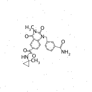 Cn1c(=O)c2cc(S(=O)(=O)NC3(C)CC3)ccc2n(Cc2cccc(C(N)=O)c2)c1=O